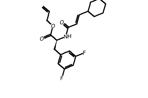 C=CCOC(=O)[C@H](Cc1cc(F)cc(F)c1)NC(=O)/C=C/C1CCCCC1